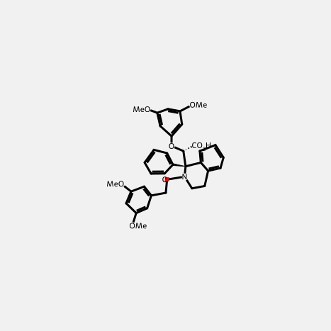 COc1cc(CC(=O)N2CCc3ccccc3[C@@]2(c2ccccc2)[C@H](Oc2cc(OC)cc(OC)c2)C(=O)O)cc(OC)c1